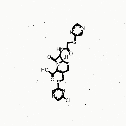 O=C(CSc1cnccn1)NC1C(=O)N2C(C(=O)O)=C(CSc3cncc(Cl)n3)CS[C@H]12